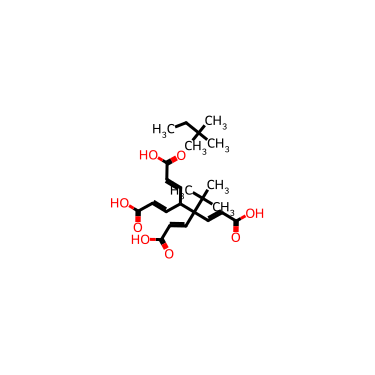 CC(C)(C)C(C=CC(=O)O)(/C=C/C(=O)O)C(C=CC(=O)O)C=CC(=O)O.CCC(C)(C)C